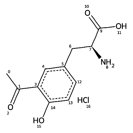 CC(=O)c1cc(C[C@H](N)C(=O)O)ccc1O.Cl